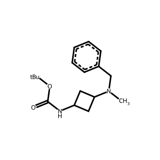 CN(Cc1ccccc1)C1CC(NC(=O)OC(C)(C)C)C1